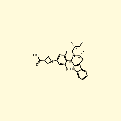 C[C@H](CF)CN1[C@H](c2c(F)cc(N3CC(C(=O)O)C3)cc2F)c2[nH]c3ccccc3c2C[C@H]1C